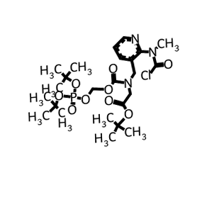 CN(C(=O)Cl)c1ncccc1CN(CC(=O)OC(C)(C)C)C(=O)OCOP(=O)(OC(C)(C)C)OC(C)(C)C